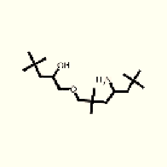 CC(C)(C)CC(N)CC(C)(C)COCC(O)CC(C)(C)C